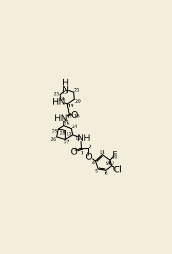 O=C(COc1ccc(Cl)c(F)c1)NC1CC(NC(=O)C2CCNCN2)C2CC1C2